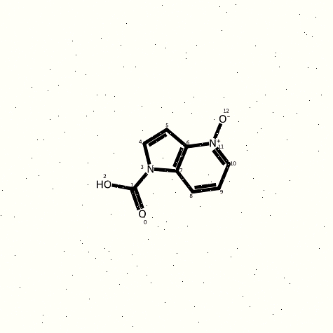 O=C(O)n1ccc2c1ccc[n+]2[O-]